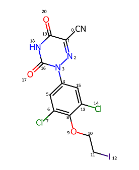 N#Cc1nn(-c2cc(Cl)c(OCCI)c(Cl)c2)c(=O)[nH]c1=O